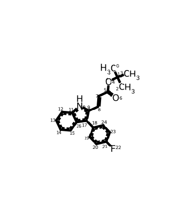 CC(C)(C)OC(=O)C=Cc1[nH]c2ccccc2c1-c1ccc(F)cc1